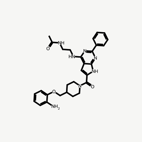 CC(=O)NCCNc1nc(-c2ccccc2)nc2[nH]c(C(=O)N3CCC(COc4ccccc4N)CC3)cc12